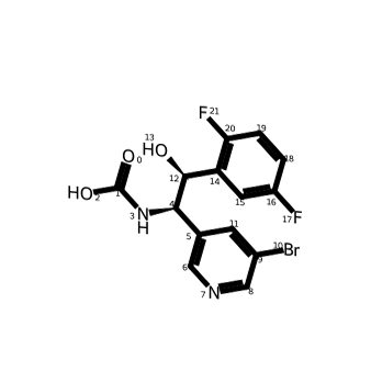 O=C(O)N[C@H](c1cncc(Br)c1)[C@@H](O)c1cc(F)ccc1F